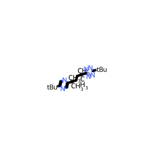 CC(C)(C)c1cnc(C(C)(C)CCC(C)(C)c2nnc(C(C)(C)C)nn2)cn1